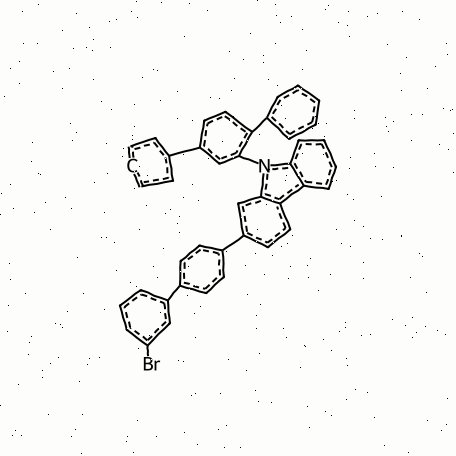 Brc1cccc(-c2ccc(-c3ccc4c5ccccc5n(-c5cc(-c6ccccc6)ccc5-c5ccccc5)c4c3)cc2)c1